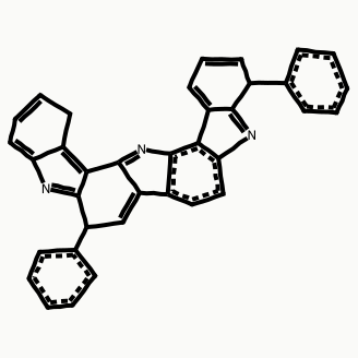 C1=CCC2=C3C4=Nc5c(ccc6c5C5=CC=CC(c7ccccc7)C5=N6)C4=CC(c4ccccc4)C3=NC2=C1